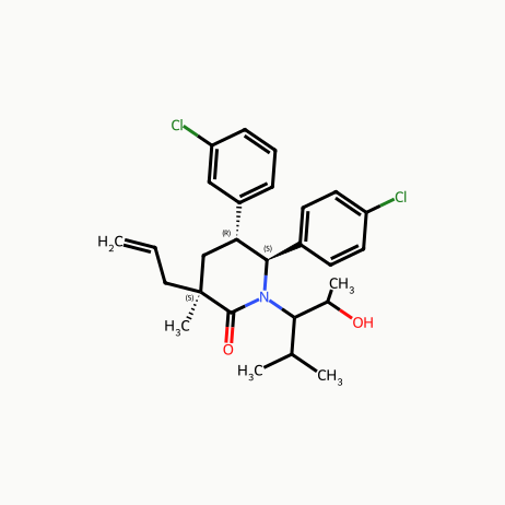 C=CC[C@@]1(C)C[C@H](c2cccc(Cl)c2)[C@@H](c2ccc(Cl)cc2)N(C(C(C)C)C(C)O)C1=O